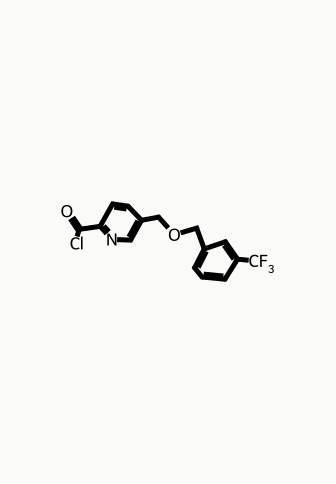 O=C(Cl)c1ccc(COCc2cccc(C(F)(F)F)c2)cn1